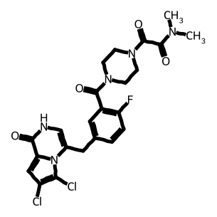 CN(C)C(=O)C(=O)N1CCN(C(=O)c2cc(Cc3c[nH]c(=O)c4cc(Cl)c(Cl)n34)ccc2F)CC1